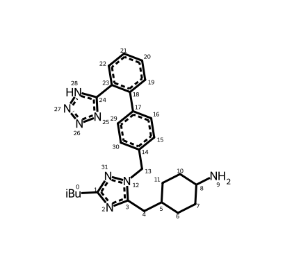 CCC(C)c1nc(CC2CCC(N)CC2)n(Cc2ccc(-c3ccccc3-c3nnn[nH]3)cc2)n1